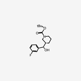 CC(C)(C)OC(=O)N1CCC[C@@H]([C@@H](O)c2cccc(F)c2)C1